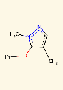 Cc1[c]nn(C)c1OC(C)C